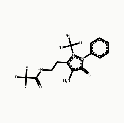 [2H]C([2H])([2H])n1c(CCNC(=O)C(F)(F)F)c(N)c(=O)n1-c1ccccc1